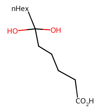 CCCCCCC(O)(O)CCCCC(=O)O